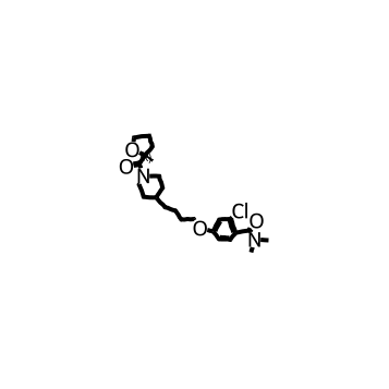 CN(C)C(=O)c1ccc(OCCCCC2CCN(C(=O)[C@@]3(C)CCCO3)CC2)cc1Cl